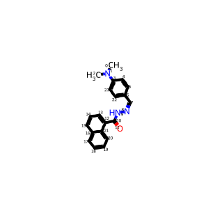 CN(C)c1ccc(/C=N\NC(=O)c2cccc3ccccc23)cc1